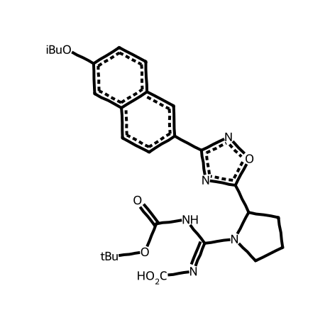 CC(C)COc1ccc2cc(-c3noc(C4CCCN4C(=NC(=O)O)NC(=O)OC(C)(C)C)n3)ccc2c1